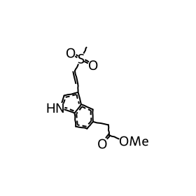 COC(=O)Cc1ccc2[nH]cc(C=CS(C)(=O)=O)c2c1